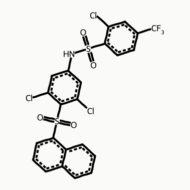 O=S(=O)(Nc1cc(Cl)c(S(=O)(=O)c2cccc3ccccc23)c(Cl)c1)c1ccc(C(F)(F)F)cc1Cl